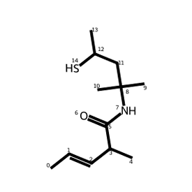 CC=CC(C)C(=O)NC(C)(C)CC(C)S